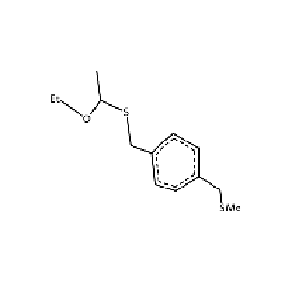 CCOC(C)SCc1ccc(CSC)cc1